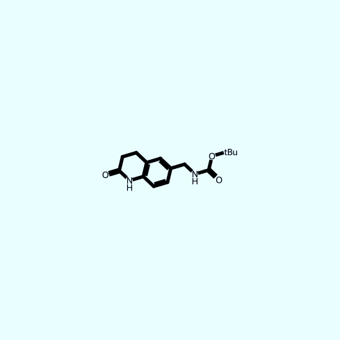 CC(C)(C)OC(=O)NCc1ccc2c(c1)CCC(=O)N2